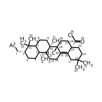 CC(=O)C[C@H]1CC[C@@]2(C)C(CC[C@]3(C)C2CCC2=C4CC(C)(C)CC[C@]4(C(=O)Cl)CC[C@]23C)C1(C)C